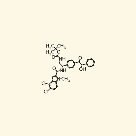 Cn1c(C(=O)NC(CNC(=O)OC(C)(C)C)c2ccc(C(=O)C(O)c3ccccc3)cc2)cc2c(Cl)c(Cl)ccc21